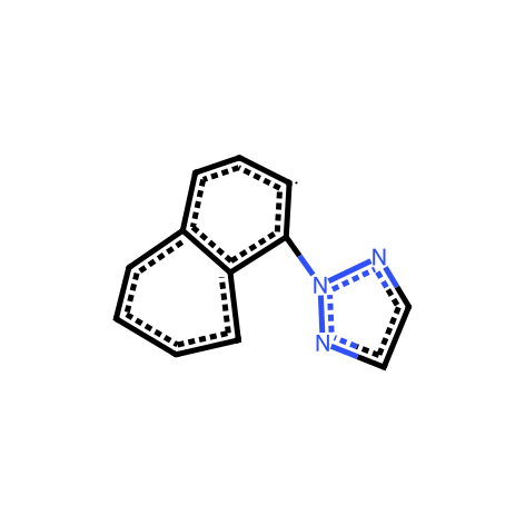 [c]1ccc2ccccc2c1-n1nccn1